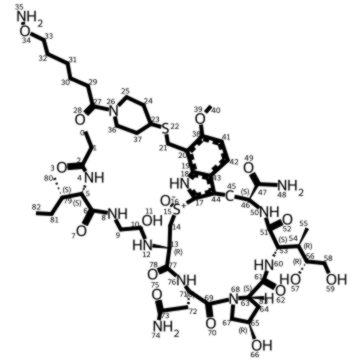 CCC(=O)N[C@H](C(=O)NCC(O)N[C@H]1C[S+]([O-])c2[nH]c3c(CSC4CCN(C(=O)CCCCCON)CC4)c(OC)ccc3c2C[C@@H](C(N)=O)NC(=O)[C@H]([C@@H](C)[C@@H](O)CO)NC(=O)[C@@H]2C[C@@H](O)CN2C(=O)[C@H](CC(N)=O)NC1=O)[C@@H](C)CC